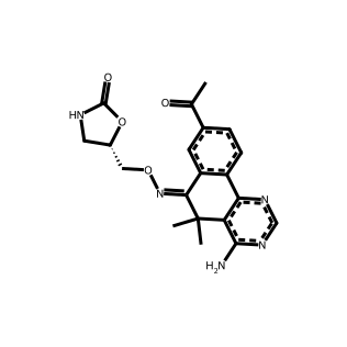 CC(=O)c1ccc2c(c1)/C(=N\OC[C@@H]1CNC(=O)O1)C(C)(C)c1c(N)ncnc1-2